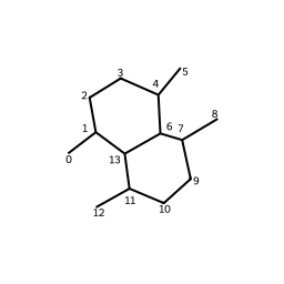 CC1CCC(C)C2C(C)CCC(C)C12